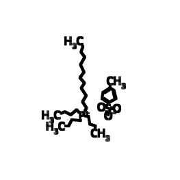 CCCCCCCCCCCC[P+](CCCC)(CCCC)CCCC.Cc1ccc(S(=O)(=O)[O-])cc1